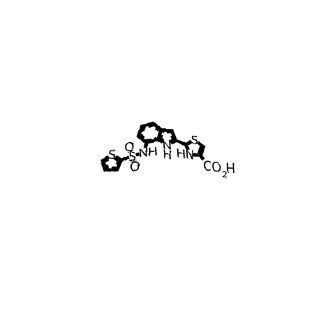 O=C(O)C1=CSC(c2cc3cccc(NS(=O)(=O)c4cccs4)c3[nH]2)N1